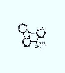 CC1(C)c2ccncc2-n2c3ccccc3c3cccc1c32